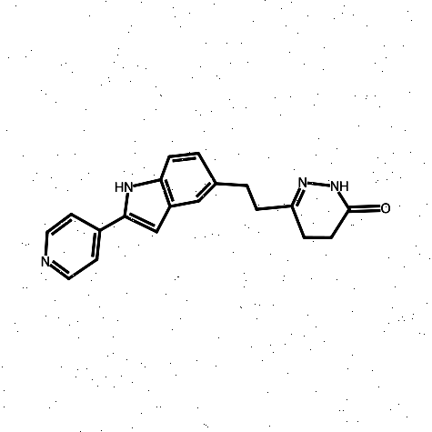 O=C1CCC(CCc2ccc3[nH]c(-c4ccncc4)cc3c2)=NN1